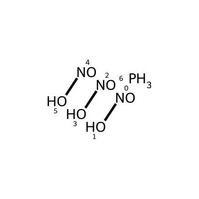 O=NO.O=NO.O=NO.P